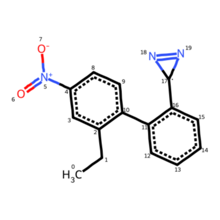 CCc1cc([N+](=O)[O-])ccc1-c1ccccc1[C]1N=N1